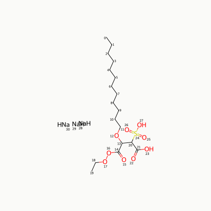 CCCCCCCCCCCCOC(C(=O)OOCC)C(C(=O)O)S(=O)(=O)O.[NaH].[NaH].[NaH]